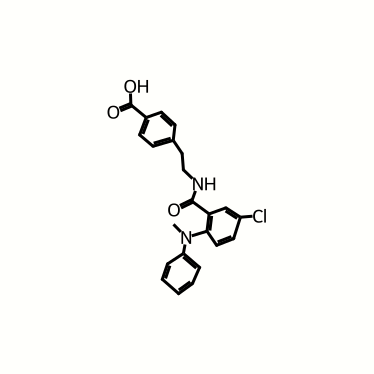 CN(c1ccccc1)c1ccc(Cl)cc1C(=O)NCCc1ccc(C(=O)O)cc1